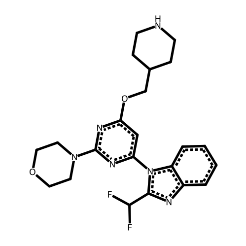 FC(F)c1nc2ccccc2n1-c1cc(OCC2CCNCC2)nc(N2CCOCC2)n1